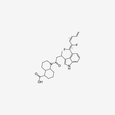 C=C/C=C\C(F)=C(/F)c1cccc2[nH]cc(C(C)CC(=O)N3CCCC4C(C(=O)O)CCCC43)c12